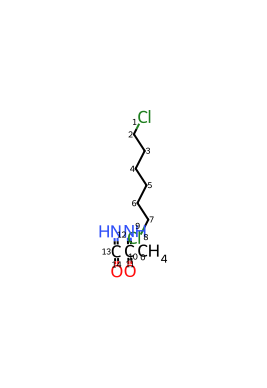 C.ClCCCCCCCl.N=C=O.N=C=O